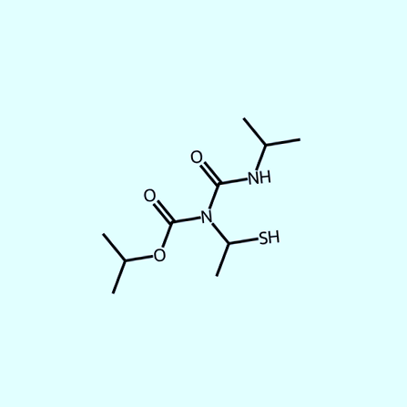 CC(C)NC(=O)N(C(=O)OC(C)C)C(C)S